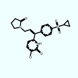 O=C1CCCN1CC=C(c1ccc(S(=O)(=O)C2CC2)cc1)c1ccc(Cl)c(=O)[nH]1